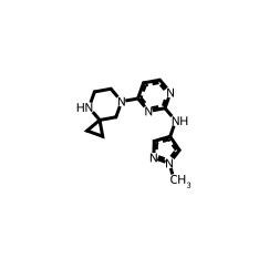 Cn1cc(Nc2nccc(N3CCNC4(CC4)C3)n2)cn1